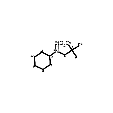 CCOC(=O)C(C)(F)CNC1CCCCC1